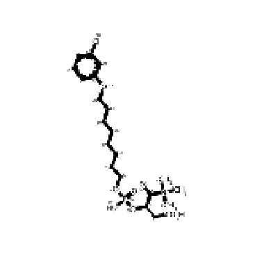 C[N+](C)(C)C([O-])[C@@H](CC(=O)O)OP(=O)(O)OCCCCCCCCOc1cccc(Cl)c1